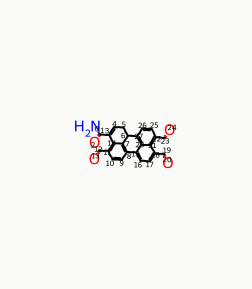 NC(=O)C1=CCC2c3c(ccc(C=O)c31)-c1ccc(C=O)c3c(C=O)ccc2c13